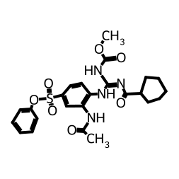 COC(=O)N/C(=N/C(=O)C1CCCCC1)Nc1ccc(S(=O)(=O)Oc2ccccc2)cc1NC(C)=O